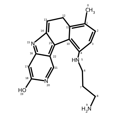 Cc1ccc(NCCCN)c2c1CC=C1N=c3cc(O)ncc3=C12